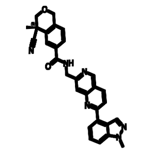 Cn1ncc2c(-c3ccc4cnc(CNC(=O)c5ccc6c(c5)[C@](C)(C#N)COC6)cc4n3)cccc21